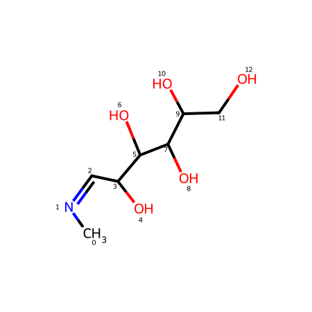 C/N=C\C(O)C(O)C(O)C(O)CO